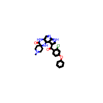 CN1CCC2(CC1)Nc1c(cnc3[nH]cc(C(=O)c4ccc(Oc5ccccc5)cc4Cl)c13)NC2=O